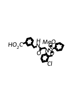 COc1ccccc1S(=O)(=O)N(CC(=O)NCc1cccc(C(=O)O)c1)c1cccc(Cl)c1C